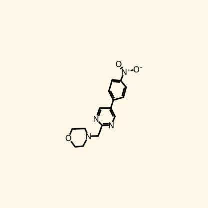 O=[N+]([O-])c1ccc(-c2cnc(CN3CCOCC3)nc2)cc1